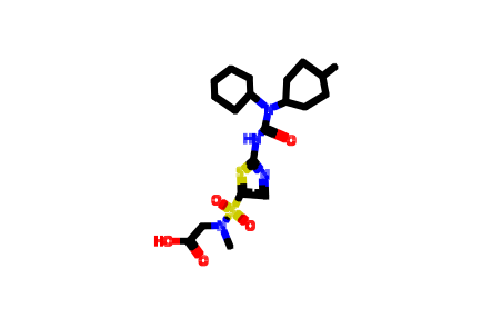 CC1CCC(N(C(=O)Nc2ncc(S(=O)(=O)N(C)CC(=O)O)s2)C2CCCCC2)CC1